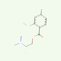 CCCCOc1cc(O)ccc1C(=O)OC[C@H](C(C)CC)N(C)C